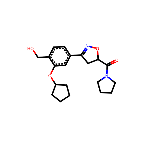 O=C(C1CC(c2ccc(CO)c(OC3CCCC3)c2)=NO1)N1CCCC1